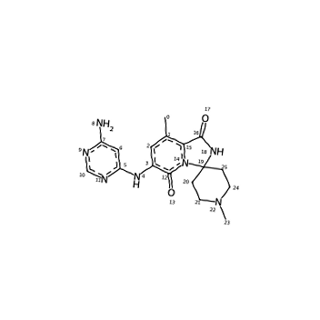 Cc1cc(Nc2cc(N)ncn2)c(=O)n2c1C(=O)NC21CCN(C)CC1